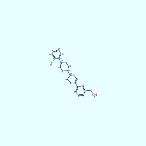 OCc1cccc(C2=CCC(N3CCN(c4ccccc4F)CC3)CC2)c1